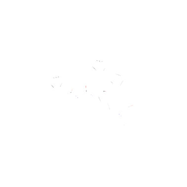 CN1OC(=O)CC1/C=C/C1=C(C(=O)OC(c2ccccc2)c2ccccc2)N2C(=O)C(NC(=O)Cc3ccccc3)C2SC1